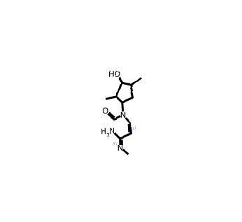 C/N=C(N)\C=C/N(C=O)C1CC(C)C(O)C1C